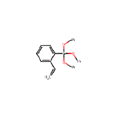 C=Cc1ccccc1[Si](OC(C)C)(OC(C)C)OC(C)C